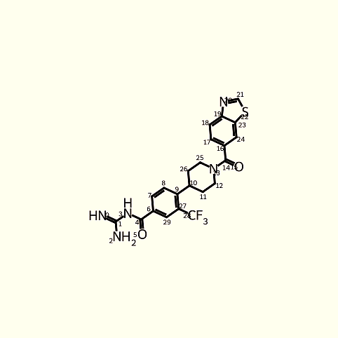 N=C(N)NC(=O)c1ccc(C2CCN(C(=O)c3ccc4ncsc4c3)CC2)c(C(F)(F)F)c1